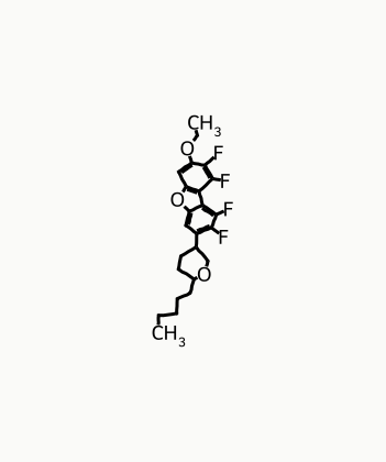 CCCCCC1CCC(c2cc3oc4cc(OCC)c(F)c(F)c4c3c(F)c2F)CO1